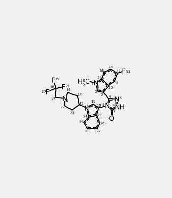 Cn1cc(-c2n[nH]c(=O)n2-c2cn(C3CCN(CC(F)(F)F)CC3)c3ccccc23)c2cc(F)ccc21